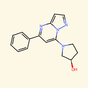 O[C@@H]1CCN(c2cc(-c3ccccc3)nc3ccnn23)C1